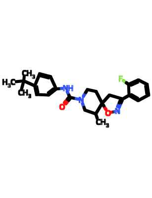 CC1CN(C(=O)Nc2ccc(C(C)(C)C)cc2)CCC12CC(c1ccccc1F)=NO2